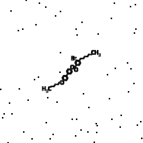 CCCCCCCc1ccc(C(=O)Oc2ccc(-c3ccc(OCCCCCC)cc3)cc2)cc1Br